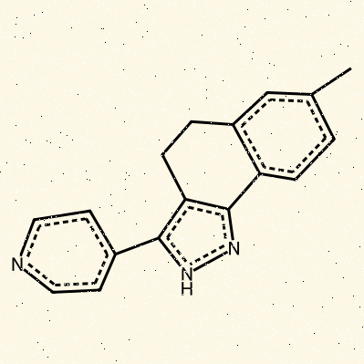 Cc1ccc2c(c1)CCc1c-2n[nH]c1-c1ccncc1